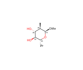 CO[C@H]1O[C@H](C(C)C)[C@@H](O)[C@H](O)[C@H]1C